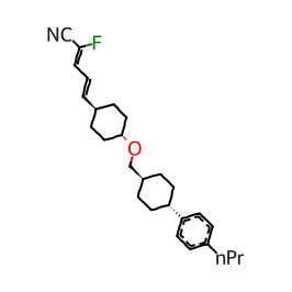 CCCc1ccc([C@H]2CC[C@H](CO[C@H]3CC[C@H](C=CC=C(F)C#N)CC3)CC2)cc1